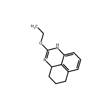 CCOC1=NC2CCCc3cccc(c32)N1